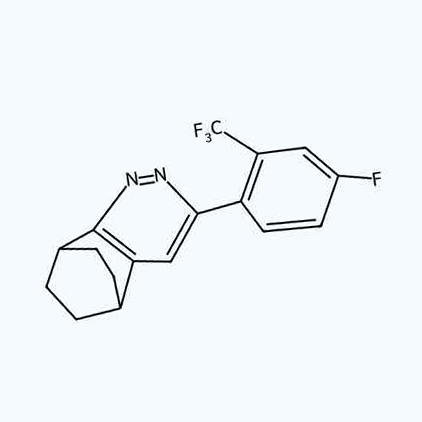 Fc1ccc(-c2cc3c(nn2)C2CCC3CC2)c(C(F)(F)F)c1